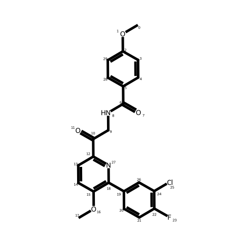 COc1ccc(C(=O)NCC(=O)c2ccc(OC)c(-c3ccc(F)c(Cl)c3)n2)cc1